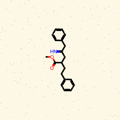 COC(=O)C(CCc1ccccc1)CC(=N)Cc1ccccc1